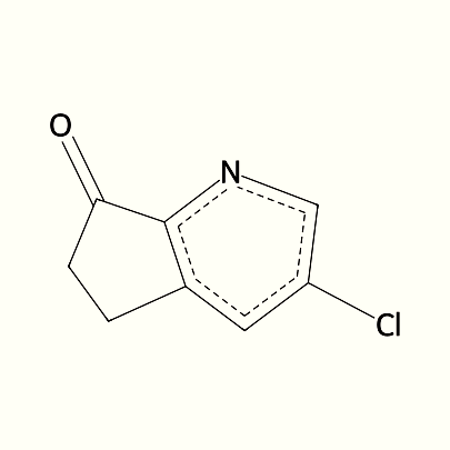 O=C1CCc2cc(Cl)cnc21